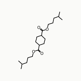 CC(C)CCCOC(=O)C1CCC(C(=O)OCCCC(C)C)CC1